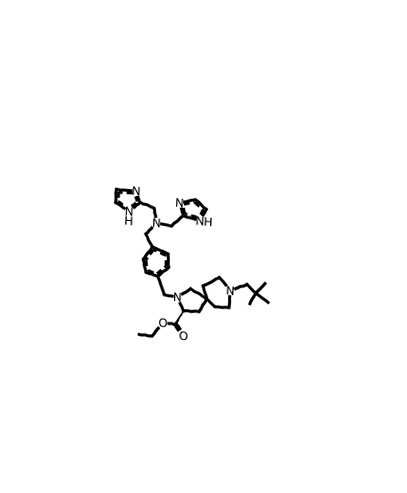 CCOC(=O)[C@@H]1CC2(CCN(CC(C)(C)C)CC2)CN1Cc1ccc(CN(Cc2ncc[nH]2)Cc2ncc[nH]2)cc1